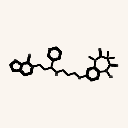 CCN1C(=O)C(C)(C)C(=O)N(C)c2cc(OCCCNC(CCn3ccc4ccsc4c3=O)c3cccnc3)ccc21